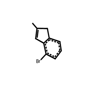 CC1=Cc2c(Br)cccc2C1